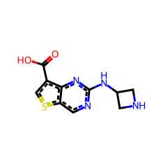 O=C(O)c1csc2cnc(NC3CNC3)nc12